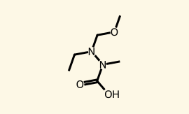 CCN(COC)N(C)C(=O)O